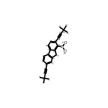 CC(C)(C)C#Cc1ccc2c(c1)Cc1c-2ccc(C#CC(C)(C)C)[c]1[Zr]([Cl])[Cl]